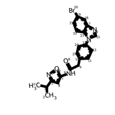 CC(C)c1cc(NC(=O)Cc2ccc(-n3cnc4cc(Br)ccc43)cc2)on1